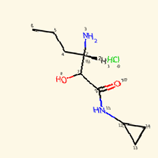 Cl.[2H][C@](N)(CCC)C(O)C(=O)NC1CC1